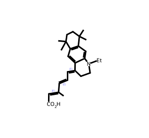 CCN1CC\C(=C/C=C/C(C)=C/C(=O)O)c2cc3c(cc21)C(C)(C)CCC3(C)C